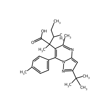 CCC(C)C(C)(C(=O)O)c1c(C)nc2cc(C(C)(C)C)nn2c1-c1ccc(C)cc1